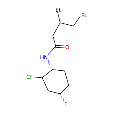 CCC(C)CC(CC)CC(=O)N[C@@H]1CC[C@H](F)CC1Cl